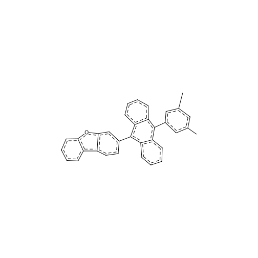 Cc1cc(C)cc(-c2c3ccccc3c(-c3ccc4c(c3)oc3ccccc34)c3ccccc23)c1